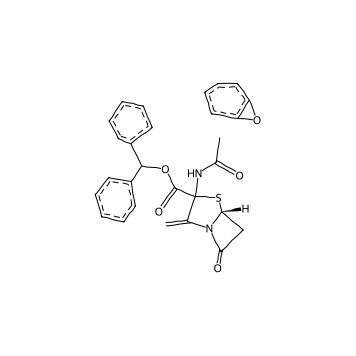 C=C1N2C(=O)C[C@H]2SC1(NC(C)=O)C(=O)OC(c1ccccc1)c1ccccc1.c1ccc2c(c1)O2